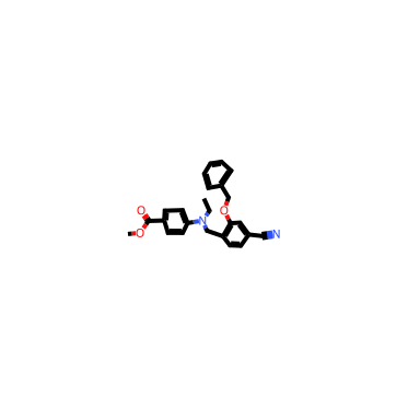 CCN(Cc1ccc(C#N)cc1OCc1ccccc1)c1ccc(C(=O)OC)cc1